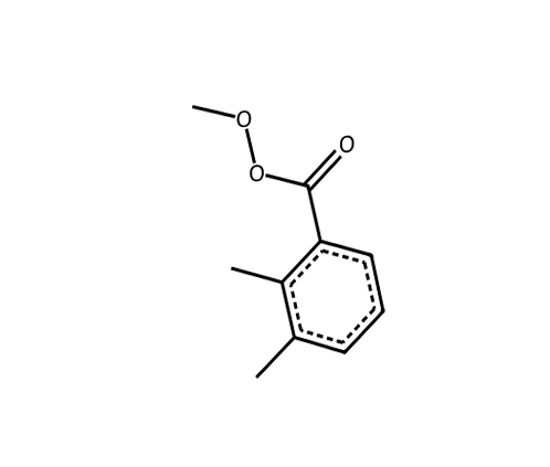 COOC(=O)c1cccc(C)c1C